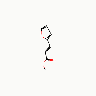 COC(=O)C=Cc1ccco1